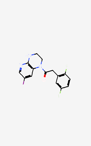 O=C(Cc1cc(F)ccc1F)N1CCNc2ncc(I)cc21